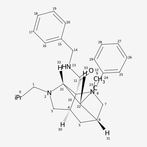 CC(C)CN1C[C@@H]2C[C@H]3CN(C)[C@]2(C(=O)NCc2ccccc2)[C@@H]1[C@@H]3Cc1ccccc1